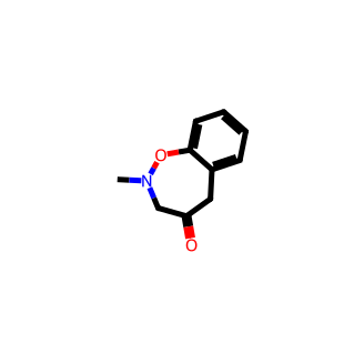 CN1CC(=O)Cc2ccccc2O1